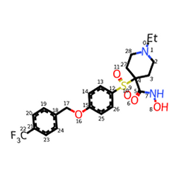 CCN1CCC(C(=O)NO)(S(=O)(=O)c2ccc(OCc3ccc(C(F)(F)F)cc3)cc2)CC1